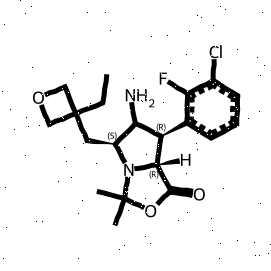 CCC1(C[C@H]2C(N)[C@@H](c3cccc(Cl)c3F)[C@@H]3C(=O)OC(C)(C)N23)COC1